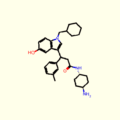 Cc1cccc(C(CC(=O)N[C@H]2CC[C@H](N)CC2)c2cn(CC3CCCCC3)c3ccc(O)cc23)c1